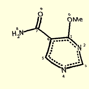 COc1ncncc1C(N)=O